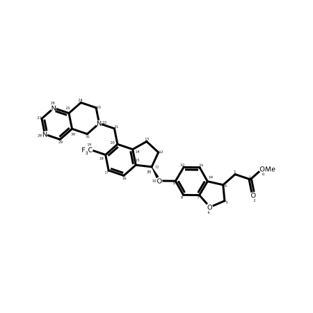 COC(=O)CC1COc2cc(O[C@@H]3CCc4c3ccc(C(F)(F)F)c4CN3CCc4ncncc4C3)ccc21